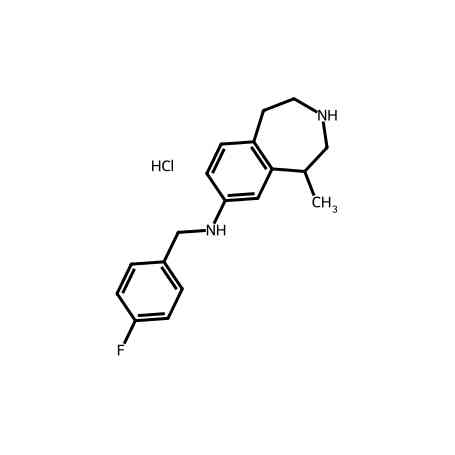 CC1CNCCc2ccc(NCc3ccc(F)cc3)cc21.Cl